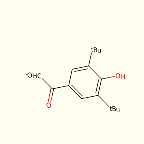 CC(C)(C)c1cc(C(=O)[C]=O)cc(C(C)(C)C)c1O